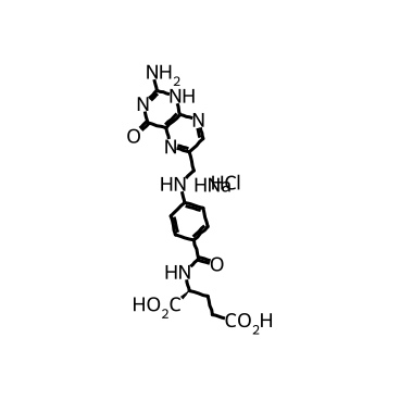 Cl.Nc1nc(=O)c2nc(CNc3ccc(C(=O)N[C@@H](CCC(=O)O)C(=O)O)cc3)cnc2[nH]1.[NaH]